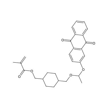 C=C(C)C(=O)OCC1CCC(COC(C)Oc2ccc3c(c2)C(=O)c2ccccc2C3=O)CC1